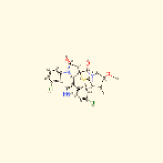 COCCNC(=O)C1(SCCC(C)C)CC(=O)N(c2cccc(Cl)c2)C1c1c[nH]c2cc(Cl)ccc12